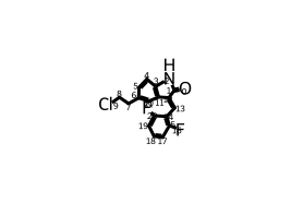 O=C1Nc2ccc(CCCl)cc2C1=Cc1c(F)cccc1F